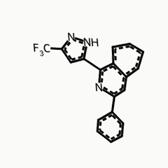 FC(F)(F)c1cc(-c2nc(-c3ccccc3)cc3ccccc23)[nH]n1